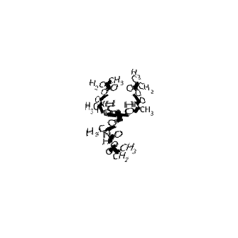 C=C(C)C(=O)OCC(=O)NC(C)COCC(CC)(COCC(C)NC(=O)COC(=O)C(=C)C)COCC(C)NC(=O)COC(=O)C(=C)C